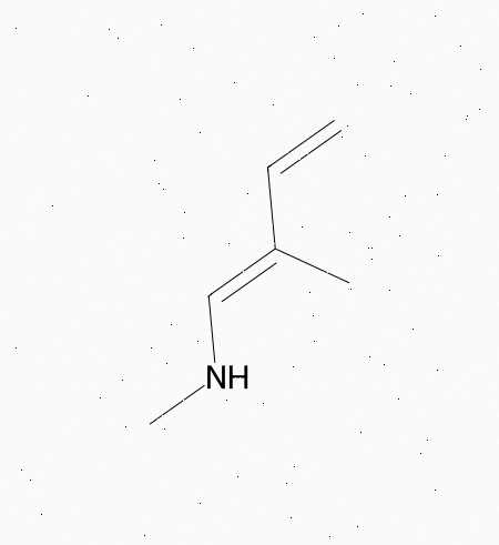 C=C/C(C)=C/NC